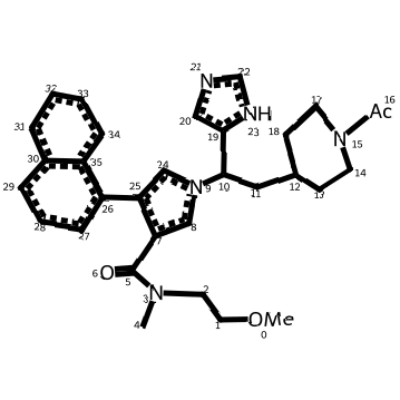 COCCN(C)C(=O)c1cn(C(CC2CCN(C(C)=O)CC2)c2cnc[nH]2)cc1-c1cccc2ccccc12